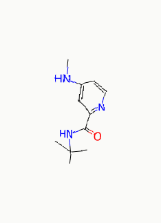 CNc1ccnc(C(=O)NC(C)(C)C)c1